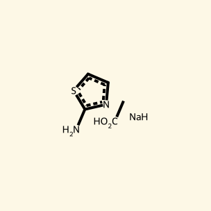 CC(=O)O.Nc1nccs1.[NaH]